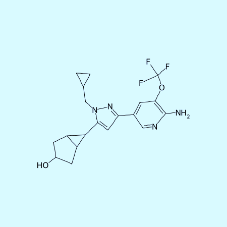 Nc1ncc(-c2cc(C3C4CC(O)CC43)n(CC3CC3)n2)cc1OC(F)(F)F